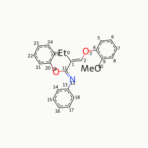 CCC(=C\Oc1ccccc1OC)/C(=N/c1ccccc1)Oc1ccccc1